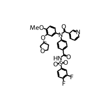 COc1ccc(N(C(=O)c2cccnc2)c2ccc(C(=O)NS(=O)(=O)c3ccc(F)c(F)c3)cc2)cc1O[C@@H]1CCOC1